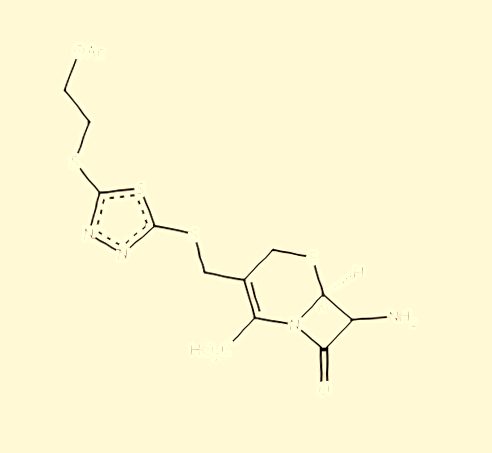 CC(=O)OCCSc1nnc(SCC2=C(C(=O)O)N3C(=O)C(N)[C@@H]3SC2)s1